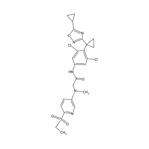 CCS(=O)(=O)c1ccc(N(C)CC(=O)Nc2cc(Cl)c(C3(c4noc(C5CC5)n4)CC3)c(Cl)c2)cn1